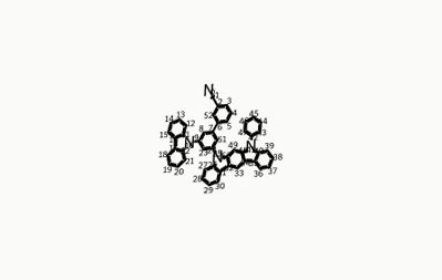 N#Cc1cccc(-c2cc(-n3c4ccccc4c4ccccc43)cc(-n3c4ccccc4c4cc5c6ccccc6n(-c6ccccc6)c5cc43)c2)c1